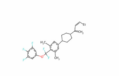 C=C(/C=C\CC)C1CCC(c2cc(C)c(C(F)(F)Oc3cc(F)c(F)c(F)c3)c(C)c2)CC1